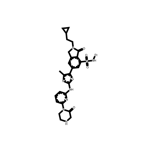 CCNS(=O)(=O)c1cc(-c2sc(Nc3cccc(N4CCNCC4=O)n3)nc2C)cc2c1C(=O)N(CCC1CC1)C2